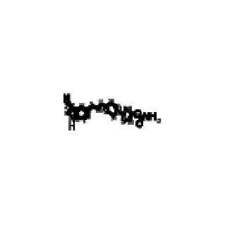 N#Cc1c[nH]c2ccc(CCCN3CCN(c4nc(OC(N)=O)cs4)CC3)cc12